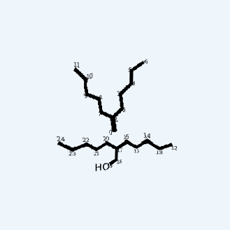 C=C(CCCCC)CCCCC.CCCCCC(CO)CCCCC